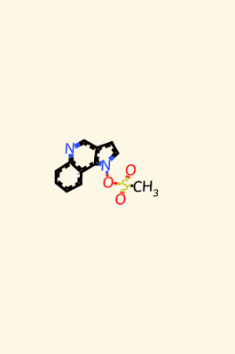 CS(=O)(=O)On1ccc2cnc3ccccc3c21